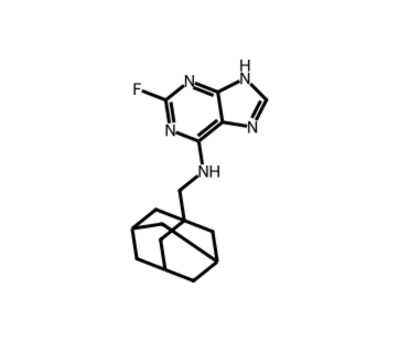 Fc1nc(NCC23CC4CC(CC(C4)C2)C3)c2nc[nH]c2n1